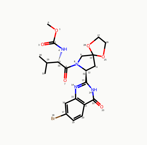 COC(=O)N[C@H](C(=O)N1CC2(C[C@H]1c1nc3cc(Br)ccc3c(=O)[nH]1)OCCO2)C(C)C